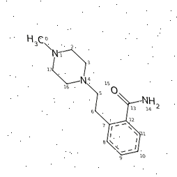 CN1CCN(CCc2ccc[c]c2C(N)=O)CC1